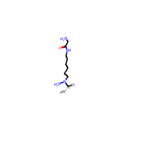 CCC[C@@H](CC)N(N)CCCCCCNC(=O)CN